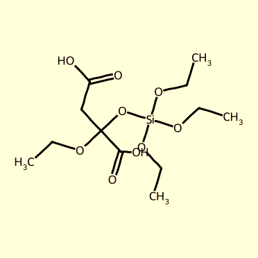 CCOC(CC(=O)O)(O[Si](OCC)(OCC)OCC)C(=O)O